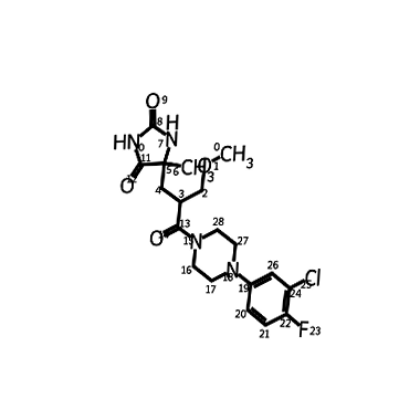 COCC(CC1(C)NC(=O)NC1=O)C(=O)N1CCN(c2ccc(F)c(Cl)c2)CC1